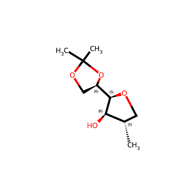 C[C@H]1CO[C@H]([C@H]2COC(C)(C)O2)[C@@H]1O